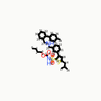 CCCCOC(=O)NS(=O)(=O)c1sc(CC(C)C)cc1-c1cccc(CNCc2ccccc2-c2ccc(C)cc2)c1